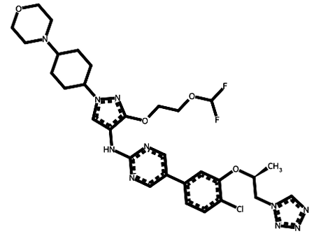 C[C@@H](Cn1cnnn1)Oc1cc(-c2cnc(Nc3cn(C4CCC(N5CCOCC5)CC4)nc3OCCOC(F)F)nc2)ccc1Cl